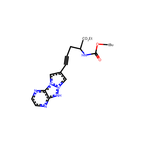 CCOC(=O)C(CC#Cc1cn2c3nccnc3[nH][n+]2c1)NC(=O)OC(C)(C)C